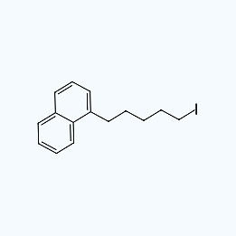 ICCCCCc1cccc2ccccc12